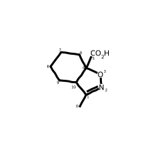 CC1=NOC2(C(=O)O)CCCCC12